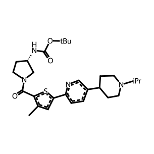 Cc1cc(-c2ccc(C3CCN(C(C)C)CC3)cn2)sc1C(=O)N1CC[C@H](NC(=O)OC(C)(C)C)C1